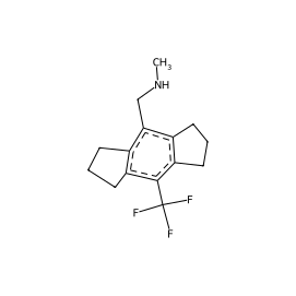 CNCc1c2c(c(C(F)(F)F)c3c1CCC3)CCC2